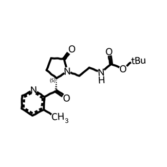 Cc1cccnc1C(=O)[C@@H]1CCC(=O)N1CCNC(=O)OC(C)(C)C